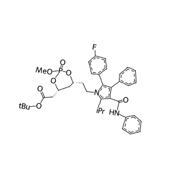 COP1(=O)O[C@H](CCn2c(-c3ccc(F)cc3)c(-c3ccccc3)c(C(=O)Nc3ccccc3)c2C(C)C)C[C@H](CC(=O)OC(C)(C)C)O1